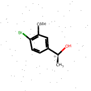 COc1cc([C@H](C)O)ccc1Br